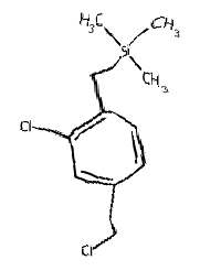 C[Si](C)(C)Cc1ccc(CCl)cc1Cl